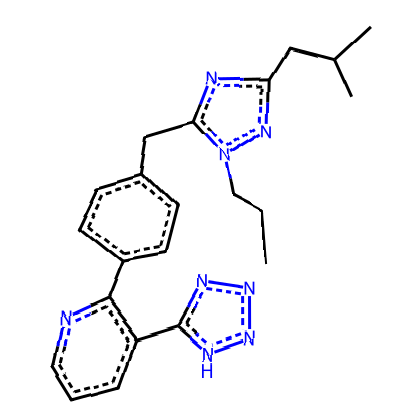 CCCn1nc(CC(C)C)nc1Cc1ccc(-c2ncccc2-c2nnn[nH]2)cc1